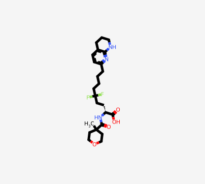 CC1(C(=O)N[C@H](CCC(F)(F)CCCCc2ccc3c(n2)NCCC3)C(=O)O)CCOCC1